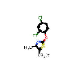 CCOC(=O)c1sc(Oc2ccc(Cl)cc2Cl)nc1C